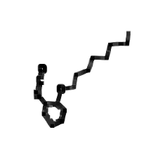 CCCCCCCCOc1ccccc1N=C=O